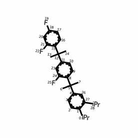 CC(C)c1ccc(C(C)(C)c2ccc(C(C)(C)c3ccc(F)cc3F)cc2F)cc1C(C)C